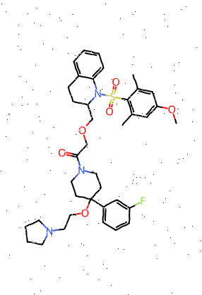 COc1cc(C)c(S(=O)(=O)N2c3ccccc3CCC2COCC(=O)N2CCC(OCCN3CCCC3)(c3cccc(F)c3)CC2)c(C)c1